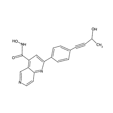 CC(O)C#Cc1ccc(-c2cc(C(=O)NO)c3cnccc3n2)cc1